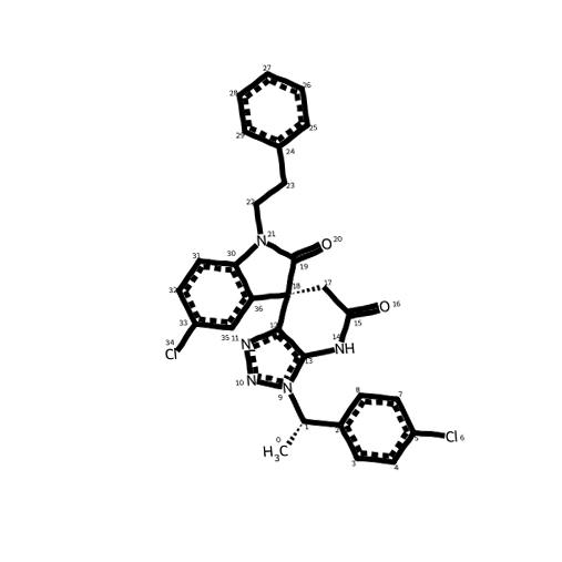 C[C@@H](c1ccc(Cl)cc1)n1nnc2c1NC(=O)C[C@]21C(=O)N(CCc2ccccc2)c2ccc(Cl)cc21